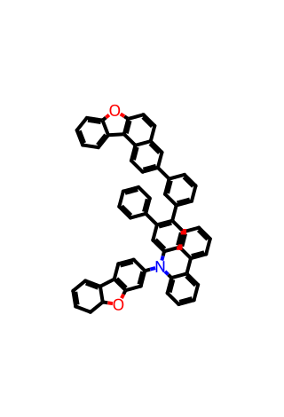 C1=CCC2Oc3cc(N(c4ccc(-c5cccc(-c6ccc7c(ccc8oc9ccccc9c87)c6)c5)c(-c5ccccc5)c4)c4ccccc4-c4ccccc4)ccc3C2=C1